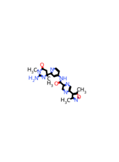 Cc1noc(C)c1-c1cnc(C(=O)Nc2ccnc(C3(C)CC(=O)N(C)C(N)=N3)c2)cn1